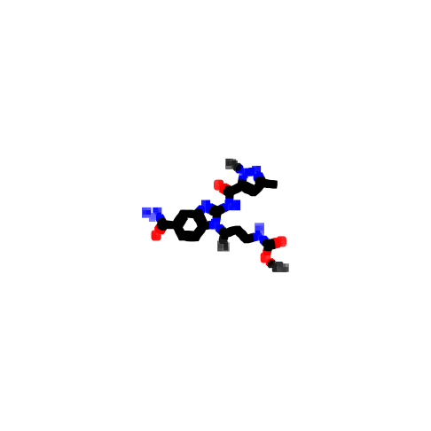 CCC(CCNC(=O)OC(C)(C)C)n1c(NC(=O)c2cc(C)nn2CC)nc2cc(C(N)=O)ccc21